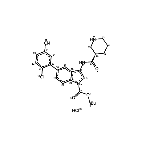 CCCCOC(=O)n1nc(NC(=O)[C@@H]2CCCNC2)c2cc(-c3cc(C#N)ccc3Cl)ccc21.Cl